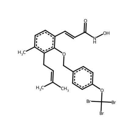 CC(C)=CCc1c(C)ccc(/C=C/C(=O)NO)c1OCc1ccc(OC(Br)(Br)Br)cc1